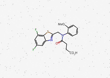 COc1ccccc1N(Cc1nc2cc(F)cc(F)c2s1)C(=O)CCC(=O)O